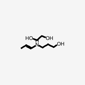 CC=CNCCCO.OCCO